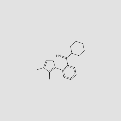 CC1=CCC(c2ccccc2C(=N)C2CCCCC2)=C1C